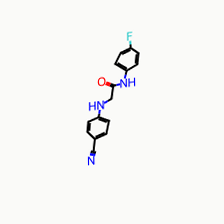 N#Cc1ccc(NCC(=O)Nc2ccc(F)cc2)cc1